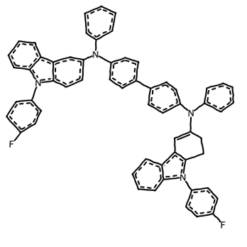 Fc1ccc(-n2c3c(c4ccccc42)C=C(N(c2ccccc2)c2ccc(-c4ccc(N(c5ccccc5)c5ccc6c(c5)c5ccccc5n6-c5ccc(F)cc5)cc4)cc2)CC3)cc1